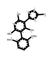 CCCCc1nc(O)c(-c2nnc(CC)o2)c(O)c1-c1c(OC)cccc1OC